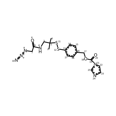 CC(C)(CNC(=O)CN=[N+]=[N-])SSc1ccc(COC(=O)n2ccnc2)cc1